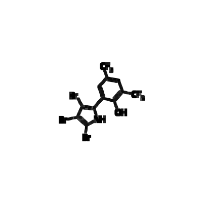 Oc1c(-c2[nH]c(Br)c(Br)c2Br)cc(C(F)(F)F)cc1C(F)(F)F